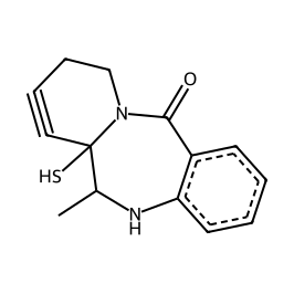 CC1Nc2ccccc2C(=O)N2CCC#CC12S